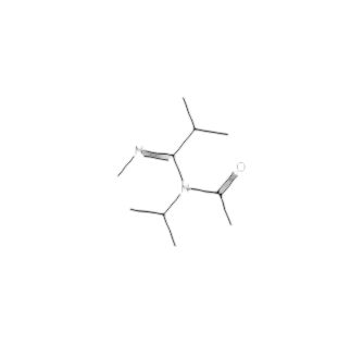 C/N=C(/C(C)C)N(C(C)=O)C(C)C